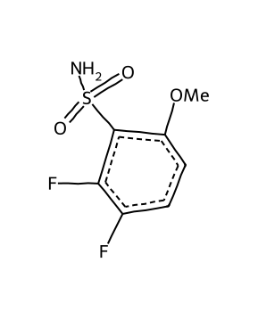 COc1ccc(F)c(F)c1S(N)(=O)=O